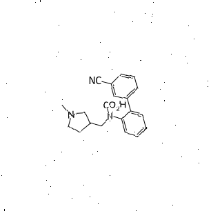 CN1CCC(CN(C(=O)O)c2ccccc2-c2cccc(C#N)c2)C1